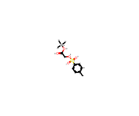 Cc1ccc(S(=O)(=O)OCC(=O)O[Si](C)(C)C)cc1